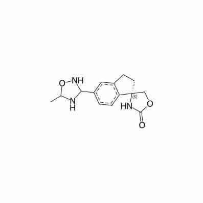 CC1NC(c2ccc3c(c2)CC[C@@]32COC(=O)N2)NO1